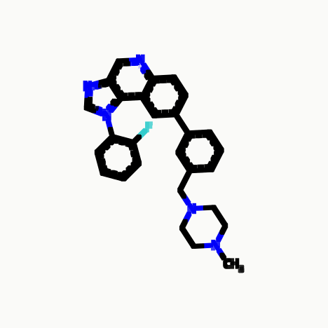 CN1CCN(Cc2cccc(-c3ccc4ncc5ncn(-c6ccccc6F)c5c4c3)c2)CC1